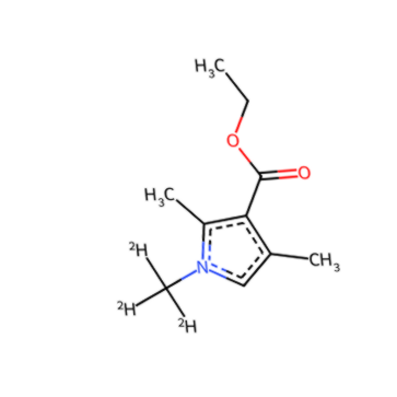 [2H]C([2H])([2H])n1cc(C)c(C(=O)OCC)c1C